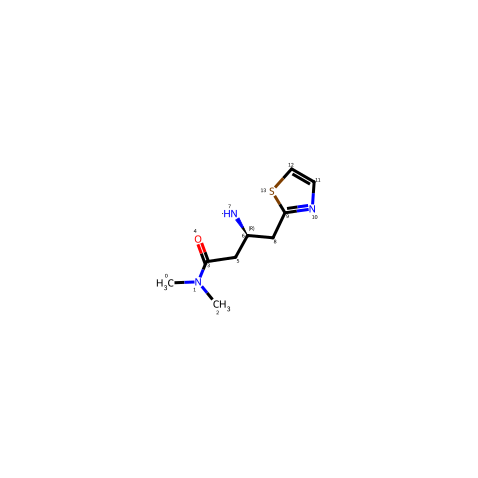 CN(C)C(=O)C[C@@H]([NH])Cc1nccs1